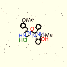 COC[C@]1(O)CCCC[C@@H]1c1nc(C(=O)N2CCNC[C@H]2Cc2cccc(OC)c2)c(-c2ccccc2)[nH]1.Cl